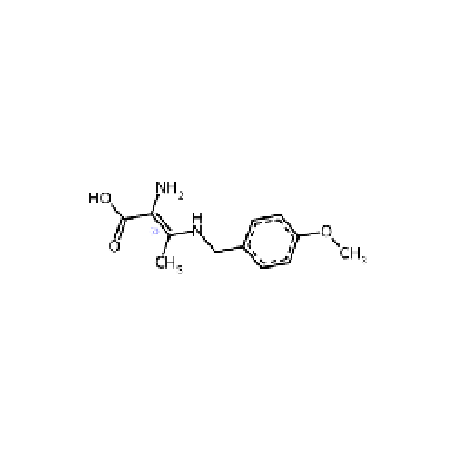 COc1ccc(CN/C(C)=C(\N)C(=O)O)cc1